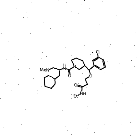 CCNC(=O)CCOC(c1cccc(Cl)c1)C1CCCN(C(=O)NC(CNC)CC2CCCCC2)C1